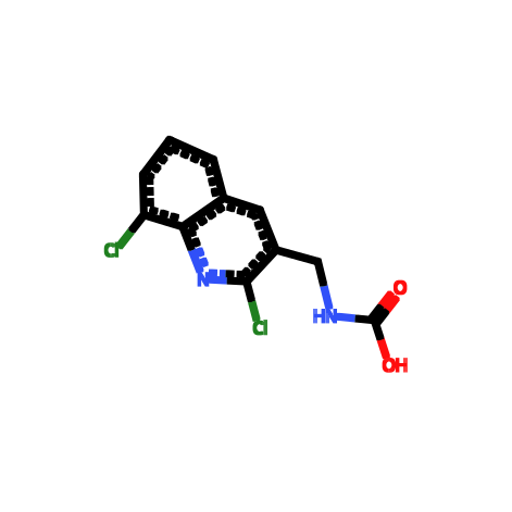 O=C(O)NCc1cc2cccc(Cl)c2nc1Cl